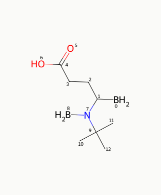 BC(CCC(=O)O)N(B)C(C)(C)C